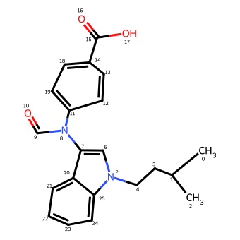 CC(C)CCn1cc(N(C=O)c2ccc(C(=O)O)cc2)c2ccccc21